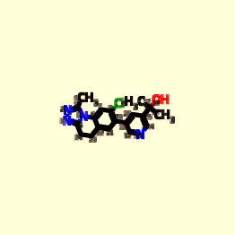 Cc1nnc2n1-c1cc(Cl)c(-c3cncc(C(C)(C)O)c3)cc1CC2